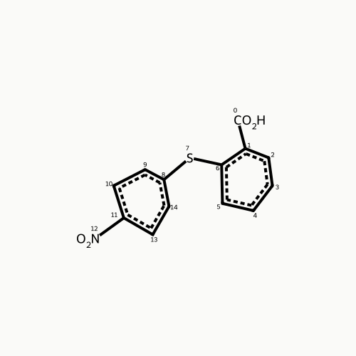 O=C(O)c1ccccc1Sc1ccc([N+](=O)[O-])cc1